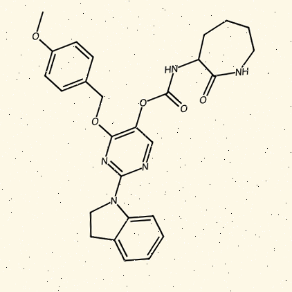 COc1ccc(COc2nc(N3CCc4ccccc43)ncc2OC(=O)NC2CCCCNC2=O)cc1